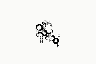 CC[C@]1(OC)CCCN2C[C@H]1n1cc(C(=O)NCc3c(F)cc(F)cc3F)c(=O)c(O)c1C2=O